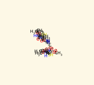 CC(=O)OCC1=C(C(=O)OCCCn2cc(COC(=O)[C@H]3N4C(=O)[C@H](NC(=O)OC(C)(C)C)[C@@H]4C(S)C3(C)C)nn2)N2C(=O)[C@H](NC(=O)OC(C)(C)C)[C@@H]2C(S)C1